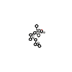 CNC(c1ccc(-c2cccc(-c3ccccc3Nc3cccc(-c4cccc5c4oc4ccccc45)c3)c2)cc1C1CC=CCC1)N(CC1=CC=CCC1)Cc1ccccc1